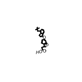 CC(C)(C)Cc1cccc2c1CC[C@H]2Oc1ccc2c(c1)OCC2CC(=O)O